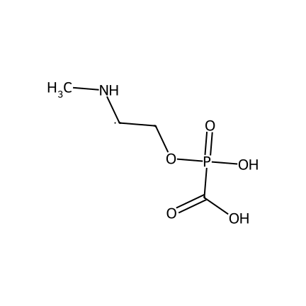 CN[CH]COP(=O)(O)C(=O)O